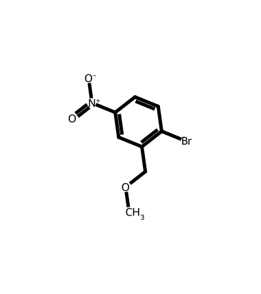 COCc1cc([N+](=O)[O-])ccc1Br